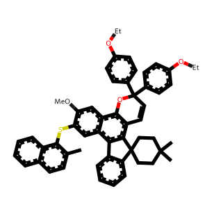 CCOc1ccc(C2(c3ccc(OCC)cc3)C=Cc3c4c(c5cc(Sc6c(C)ccc7ccccc67)c(OC)cc5c3O2)-c2ccccc2C42CCC(C)(C)CC2)cc1